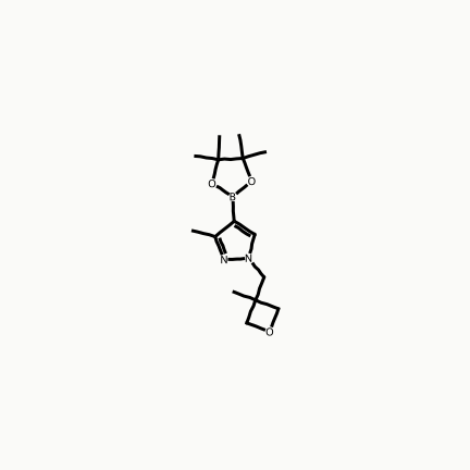 Cc1nn(CC2(C)COC2)cc1B1OC(C)(C)C(C)(C)O1